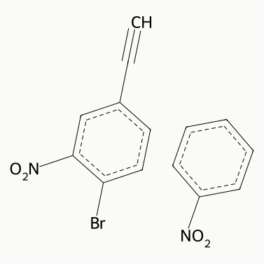 C#Cc1ccc(Br)c([N+](=O)[O-])c1.O=[N+]([O-])c1ccccc1